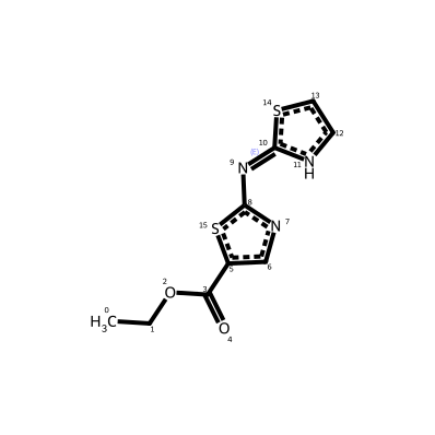 CCOC(=O)c1cnc(/N=c2\[nH]ccs2)s1